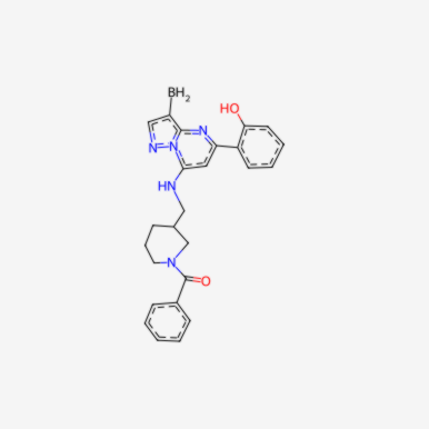 Bc1cnn2c(NCC3CCCN(C(=O)c4ccccc4)C3)cc(-c3ccccc3O)nc12